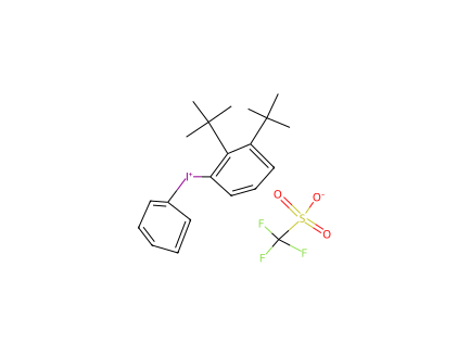 CC(C)(C)c1cccc([I+]c2ccccc2)c1C(C)(C)C.O=S(=O)([O-])C(F)(F)F